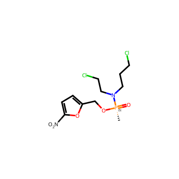 C[P@](=O)(OCc1ccc([N+](=O)[O-])o1)N(CCCl)CCCCl